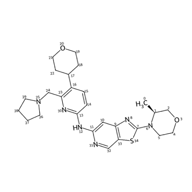 C[C@H]1COCCN1c1nc2cc(Nc3ccc(C4CCOCC4)c(CN4CCCC4)n3)ncc2s1